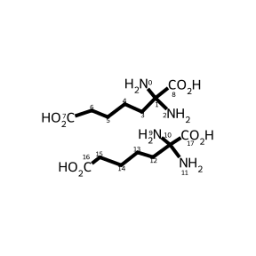 NC(N)(CCCCC(=O)O)C(=O)O.NC(N)(CCCCC(=O)O)C(=O)O